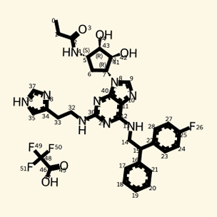 CCC(=O)N[C@H]1C[C@@H](n2cnc3c(NCC(c4ccccc4)c4ccc(F)cc4)nc(NCCc4c[nH]cn4)nc32)[C@H](O)[C@@H]1O.O=C(O)C(F)(F)F